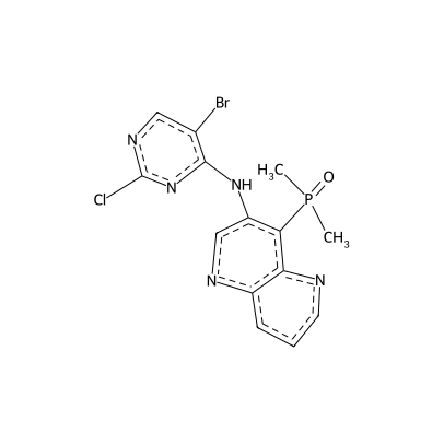 CP(C)(=O)c1c(Nc2nc(Cl)ncc2Br)cnc2cccnc12